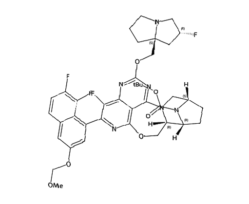 COCOc1cc(-c2nc3c4c(nc(OC[C@@]56CCCN5C[C@H](F)C6)nc4c2F)N2C[C@@H]4CC[C@H]([C@@H]2CO3)N4C(=O)OC(C)(C)C)c2c(F)c(F)ccc2c1